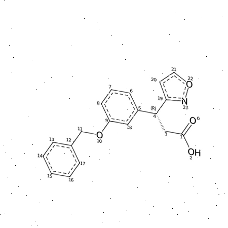 O=C(O)C[C@H](c1cccc(OCc2ccccc2)c1)c1ccon1